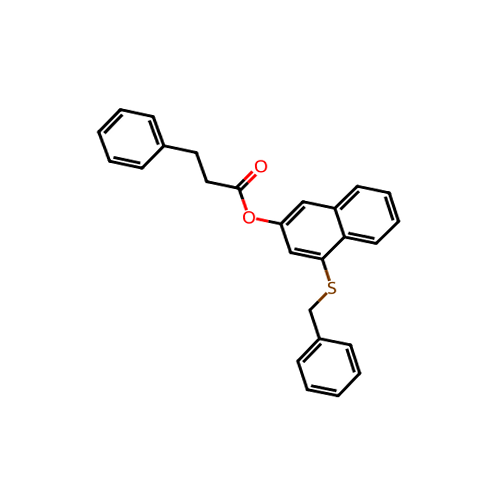 O=C(CCc1ccccc1)Oc1cc(SCc2ccccc2)c2ccccc2c1